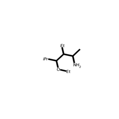 CCOC(C(C)C)C(CC)C(C)N